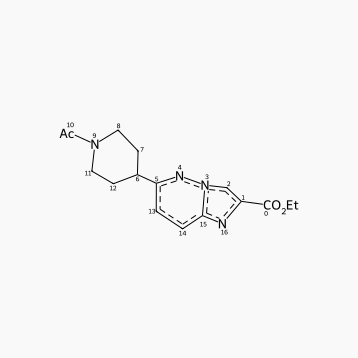 CCOC(=O)c1cn2nc(C3CCN(C(C)=O)CC3)ccc2n1